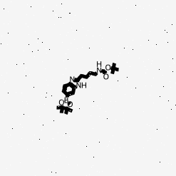 CC(C)(C)OC(=O)NCCCCc1nc2ccc(B3OC(C)(C)C(C)(C)O3)cc2[nH]1